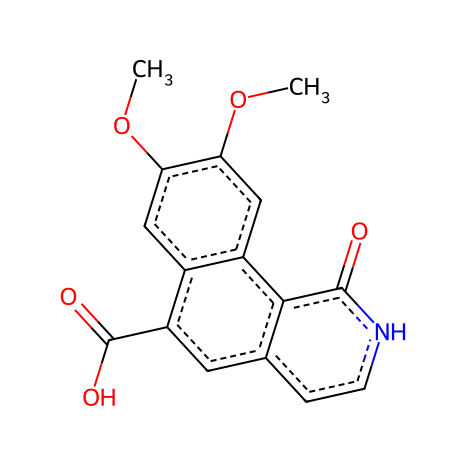 COc1cc2c(C(=O)O)cc3cc[nH]c(=O)c3c2cc1OC